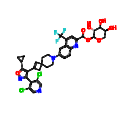 O=C(O[C@@H]1OC[C@H](O)[C@H](O)[C@H]1O)c1cc(C(F)(F)F)c2cc(N3CCC4(C=C(c5c(-c6c(Cl)cncc6Cl)noc5C5CC5)C4)CC3)ccc2n1